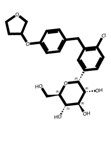 OC[C@H]1O[C@H](c2ccc(Cl)c(Cc3ccc(OC4CCOC4)cc3)c2)[C@H](O)[C@@H](O)[C@@H]1O